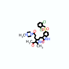 CC(=O)c1c(C)[nH]c(C=C2C(=O)Nc3ccc(S(=O)(=O)Cc4c(Cl)cccc4Cl)cc32)c1CCC(=O)N1CCN(C)CC1